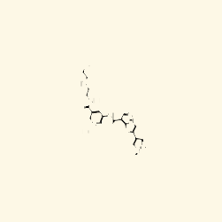 Cc1ncc(C(=O)NCCNCCO)cc1NC(=O)c1cnn2cc(-c3cnn(C)c3)sc12.Cl